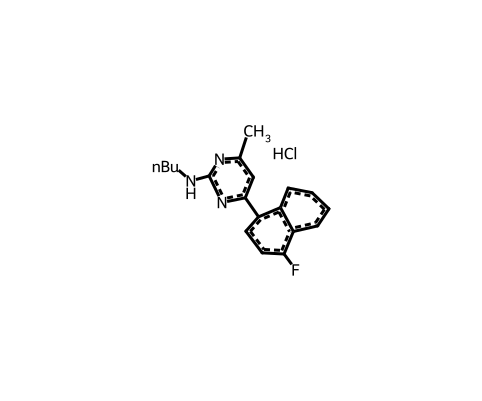 CCCCNc1nc(C)cc(-c2ccc(F)c3ccccc23)n1.Cl